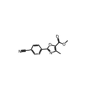 COC(=O)c1oc(-c2ccc(C#N)cc2)nc1C